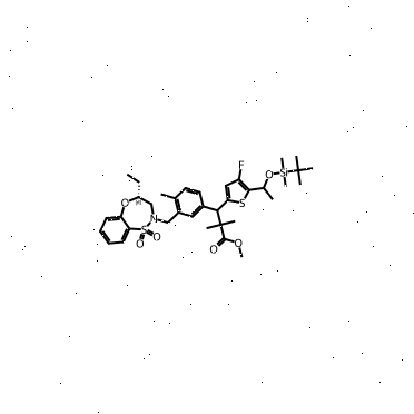 CC[C@@H]1CN(Cc2cc(C(c3cc(F)c(C(C)O[Si](C)(C)C(C)(C)C)s3)C(C)(C)C(=O)OC)ccc2C)S(=O)(=O)c2ccccc2O1